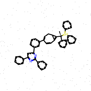 C[C@](C1=C2C=CC(c3cccc(-c4cc(-c5ccccc5)nc(-c5ccccc5)n4)c3)=CCC21)(c1ccccc1)[SH](c1ccccc1)c1ccccc1